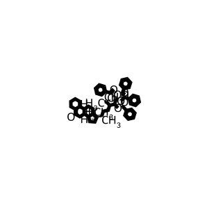 CC(C)C(CCC(C)[C@H]1CC[C@H]2[C@@H]3CC(=O)C4CCCC[C@]4(C)[C@H]3CC[C@]12C)C(OC(=O)c1ccccc1)C(OC(=O)c1ccccc1)(OC(=O)c1ccccc1)OC(=O)c1ccccc1